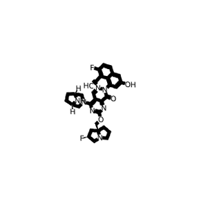 C#Cc1c(F)ccc2cc(O)cc(-n3ncc4c(N5C[C@H]6CC[C@@H](C5)N6)nc(OC[C@@]56CCCN5C[C@H](F)C6)nc4c3=O)c12